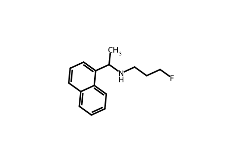 CC(NCCCF)c1cccc2ccccc12